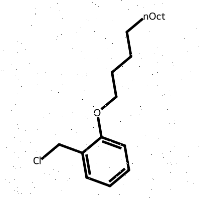 CCCCCCCCCCCCOc1ccccc1CCl